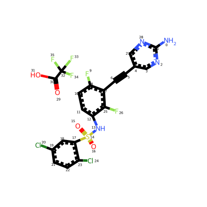 Nc1ncc(C#Cc2c(F)ccc(NS(=O)(=O)c3cc(Cl)ccc3Cl)c2F)cn1.O=C(O)C(F)(F)F